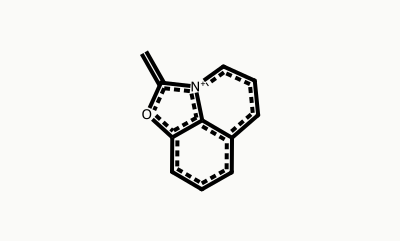 C=c1oc2cccc3ccc[n+]1c32